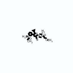 C=CC(=O)N(C)c1cccc(-c2cc(C#N)c(N3CCN(C(=O)CCOC)[C@H](C)C3)nc2C2CC2)c1